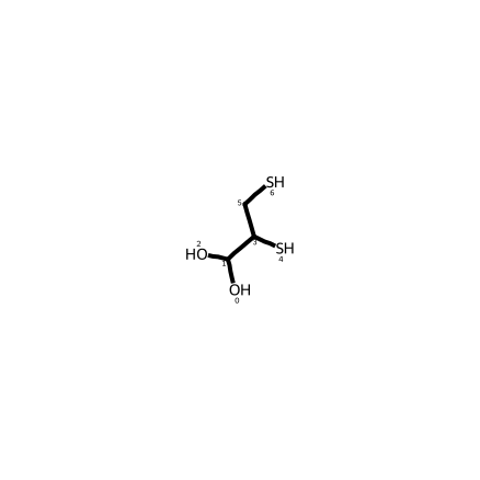 OC(O)C(S)CS